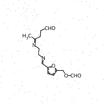 C/C(CCC=O)=N/CC/N=C/c1ccc(COC=O)o1